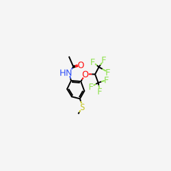 CSc1ccc(NC(C)=O)c(OC(C(F)(F)F)C(F)(F)F)c1